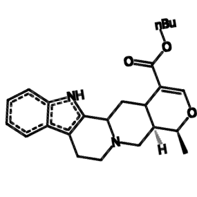 CCCCOC(=O)C1=CO[C@@H](C)[C@H]2CN3CCc4c([nH]c5ccccc45)C3CC12